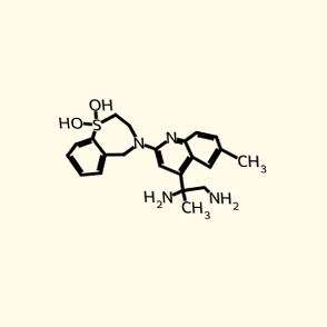 Cc1ccc2nc(N3CCS(O)(O)c4ccccc4C3)cc(C(C)(N)CN)c2c1